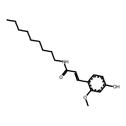 CCCCCCCCCNC(=O)C=Cc1ccc(O)cc1OC